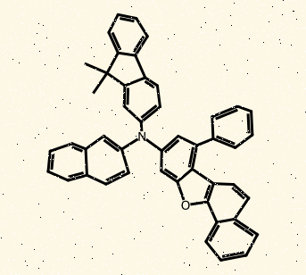 CC1(C)c2ccccc2-c2ccc(N(c3ccc4ccccc4c3)c3cc(-c4ccccc4)c4c(c3)oc3c5ccccc5ccc34)cc21